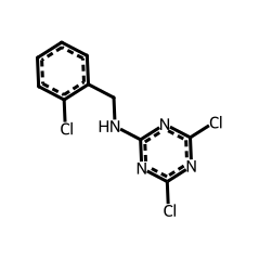 Clc1nc(Cl)nc(NCc2ccccc2Cl)n1